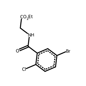 CCOC(=O)CNC(=O)c1cc(Br)ccc1Cl